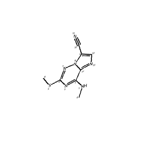 CNc1nc(SC)nn2c(C#N)cnc12